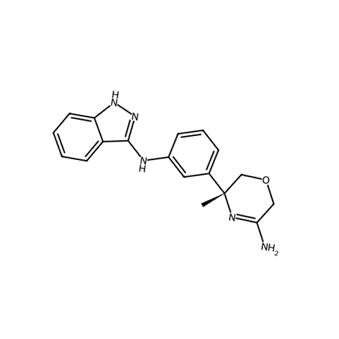 C[C@@]1(c2cccc(Nc3n[nH]c4ccccc34)c2)COCC(N)=N1